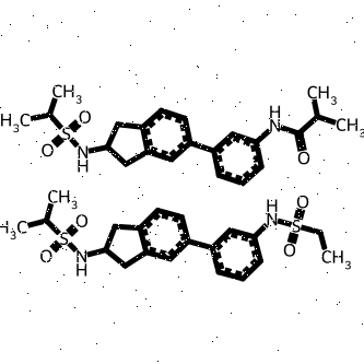 CC(C)C(=O)Nc1cccc(-c2ccc3c(c2)CC(NS(=O)(=O)C(C)C)C3)c1.CCS(=O)(=O)Nc1cccc(-c2ccc3c(c2)CC(NS(=O)(=O)C(C)C)C3)c1